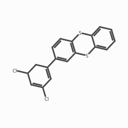 ClC1=CC(Cl)CC(c2ccc3c(c2)Sc2ccccc2S3)=C1